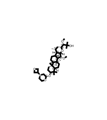 CO[C@@H]([C@H]1C[C@@H](C)[C@H]2[C@H](O1)[C@H](OC)[C@@]1(C)[C@@H]3CC[C@H]4C(C)(C)[C@@H](O[C@H]5CN(C6COC6)CCO5)CC[C@@]45C[C@@]35CC[C@]21C)C(C)(C)O